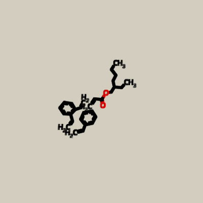 C=CC(=O)OCC(CC)CCCC.C=Cc1ccccc1.C=Cc1ccccc1C=C